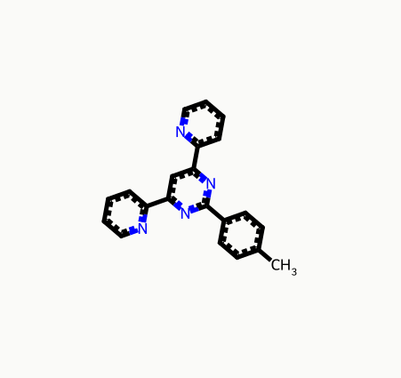 Cc1ccc(-c2nc(-c3ccccn3)cc(-c3ccccn3)n2)cc1